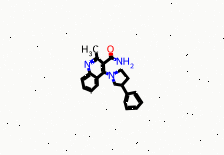 Cc1nc2cc[c]cc2c(N2CCC(c3ccccc3)C2)c1C(N)=O